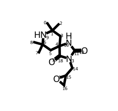 CC1(C)CC2(CC(C)(C)N1)NC(=O)N(CC1CO1)C2=O